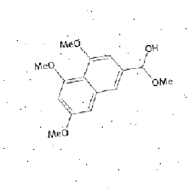 COc1cc(OC)c2c(OC)cc(C(O)OC)cc2c1